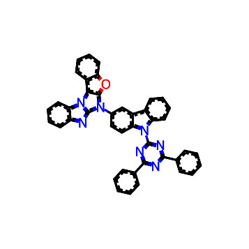 c1ccc(-c2nc(-c3ccccc3)nc(-n3c4ccccc4c4cc(-n5c6oc7ccccc7c6n6c7ccccc7nc56)ccc43)n2)cc1